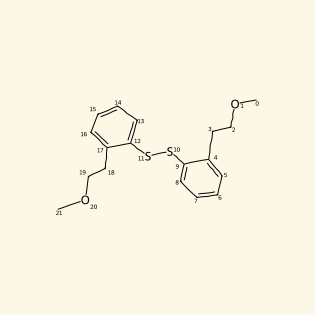 COCCc1ccccc1SSc1ccccc1CCOC